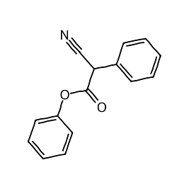 N#CC(C(=O)Oc1ccccc1)c1ccccc1